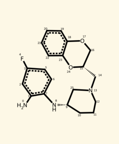 Nc1cc(F)ccc1N[C@H]1CCCN(C[C@H]2COc3ccccc3O2)C1